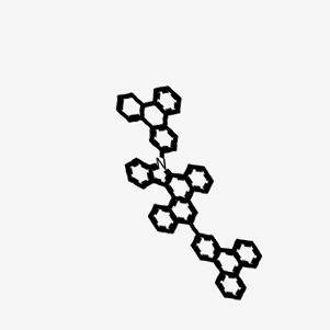 C1=CCC2C(=C1)c1cc(-n3c4ccccc4c4c5c6ccccc6c(-c6ccc7c8ccccc8c8ccccc8c7c6)cc5c5ccccc5c43)ccc1-c1ccccc12